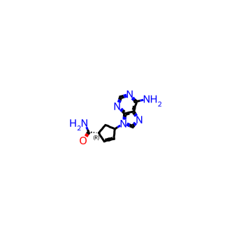 NC(=O)[C@H]1C=CC(n2cnc3c(N)ncnc32)C1